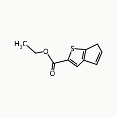 CCOC(=O)c1cc2c(s1)CC=C2